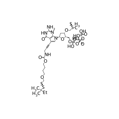 CCC(C)(C)SSCOCCCCOC(=O)NCC#Cc1cn([C@H]2C[C@H](OCS(C)=S)[C@@H](COP(=O)(O)OP(=O)(O)OP(=O)(O)O)O2)c2nc(N)[nH]c(=O)c12